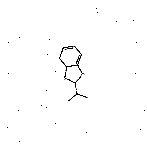 CC(C)C1OC2=CC=CCC2S1